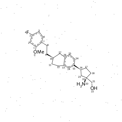 COc1cc(F)ccc1CC[C@@H]1CCc2cc([C@H]3CC[C@](N)(CO)C3)ccc2C1